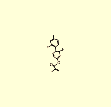 C=C(C)C(=O)Oc1ccc(-c2ccc(C)cc2F)c(F)c1